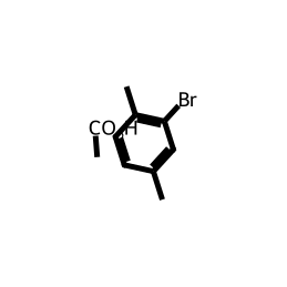 CC(=O)O.Cc1ccc(C)c(Br)c1